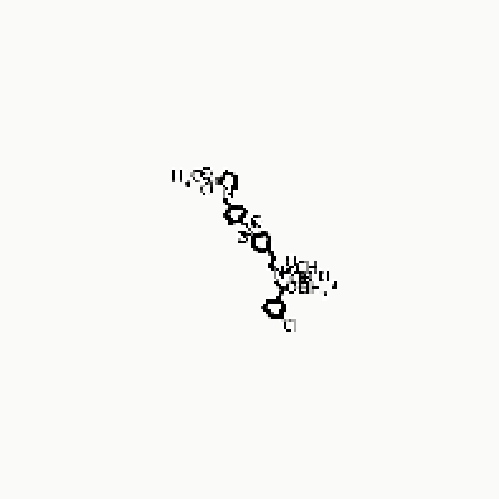 COC(=O)[C@@H]1CCCN1Cc1ccc(S(=O)(=O)c2ccc(CCN(C[C@H](O)c3cccc(Cl)c3)C(=O)OC(C)(C)C)cc2)cc1